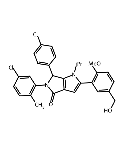 COc1ccc(CO)cc1-c1cc2c(n1C(C)C)C(c1ccc(Cl)cc1)N(c1cc(Cl)ccc1C)C2=O